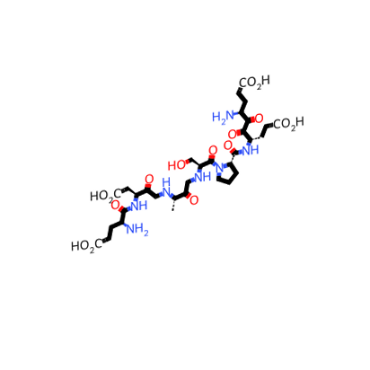 C[C@H](NCC(=O)[C@H](CC(=O)O)NC(=O)[C@@H](N)CCC(=O)O)C(=O)CN[C@@H](CO)C(=O)N1CCC[C@H]1C(=O)N[C@@H](CCC(=O)O)C(=O)C(=O)[C@@H](N)CCC(=O)O